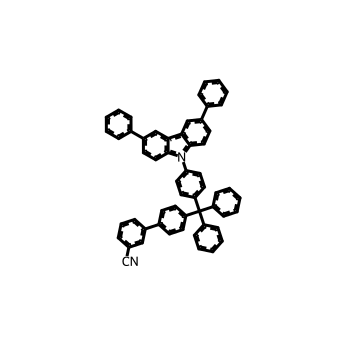 N#Cc1cccc(-c2ccc(C(c3ccccc3)(c3ccccc3)c3ccc(-n4c5ccc(-c6ccccc6)cc5c5cc(-c6ccccc6)ccc54)cc3)cc2)c1